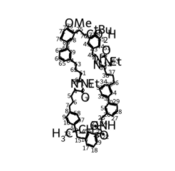 CCN1C(=O)C(CCCc2ccc(C(C)(C)Cc3cccc(S(=O)(=O)NCc4cccc(-c5cccc(CCCc6nn(Cc7ccc(C(C)(C)C)cc7)c(=O)n6CC)c5)c4)c3)cc2)N=C1CCCc1cccc(-c2ccc(OC)c(CCC(=O)O)c2)c1